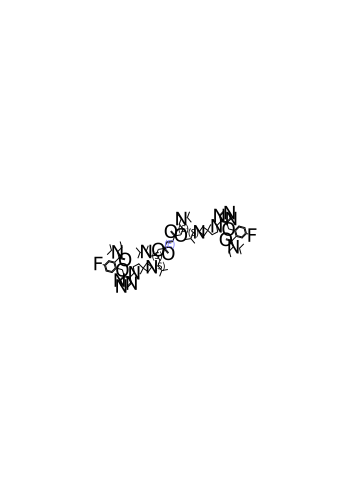 CCN(C(=O)c1cc(F)ccc1Oc1nncnc1N1CCC2(C1)CN([C@@H](C[C@@H](CN(C)C(C)C)OC(=O)/C=C/C(=O)O[C@@H](C[C@@H](C(C)C)N1CC3(CCN(c4ncnnc4Oc4ccc(F)cc4C(=O)N(CC)C(C)C)C3)C1)CN(C)C(C)C)C(C)C)C2)C(C)C